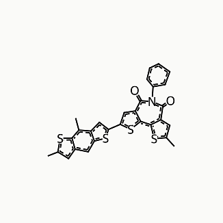 Cc1cc2cc3sc(-c4cc5c(=O)n(-c6ccccc6)c(=O)c6cc(C)sc6c5s4)cc3c(C)c2s1